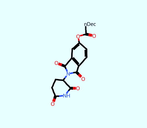 CCCCCCCCCCC(=O)Oc1ccc2c(c1)C(=O)N(C1CCC(=O)NC1=O)C2=O